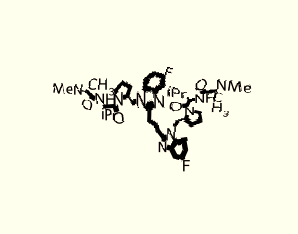 CN[C@H](C)C(=O)N[C@@H](C(=O)N1CCC[C@H]1Cn1c(CCCc2nc3cc(F)ccc3n2C[C@@H]2CCCN2C(=O)[C@H](NC(=O)[C@@H](C)NC)C(C)C)nc2cc(F)ccc21)C(C)C